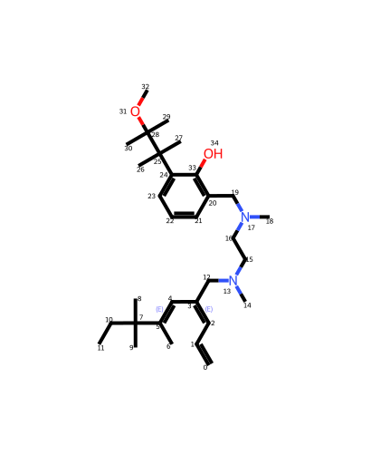 C=C/C=C(\C=C(/C)C(C)(C)CC)CN(C)CCN(C)Cc1cccc(C(C)(C)C(C)(C)OC)c1O